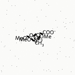 COCCOCCOCCC(=O)[O-].COCC[N+](C)(C)CCOC